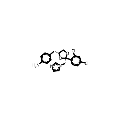 Nc1ccc(C[C@@H]2CO[C@@](Cn3ccnc3)(c3ccc(Cl)cc3Cl)O2)cc1